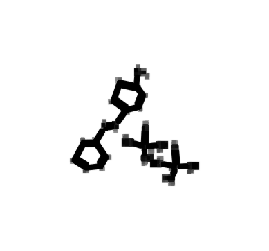 Nc1ccc(N=Nc2ccccc2)cc1.O=P(O)(O)O.O=P(O)(O)O